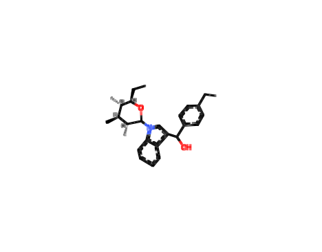 CCc1ccc(C(O)c2cn(C3O[C@H](CC)[C@@H](C)[C@H](C)[C@H]3C)c3ccccc23)cc1